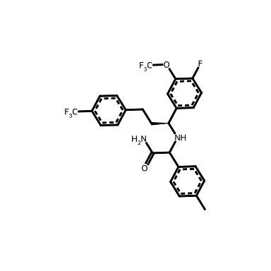 Cc1ccc(C(N[C@@H](CCc2ccc(C(F)(F)F)cc2)c2ccc(F)c(OC(F)(F)F)c2)C(N)=O)cc1